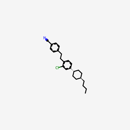 CCCC[C@H]1CC[C@H](c2ccc(CCc3ccc(C#N)cc3)c(Cl)c2)CC1